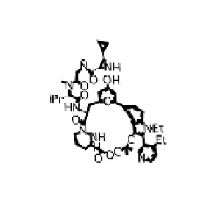 CCc1ccncc1-c1c2c3cc(ccc3n1CC)-c1cc(O)cc(c1)C[C@H](NC(=O)[C@H](C(C)C)N(C)C(=O)CN(C)C(=O)[C@H]1N[C@@H]1C1CC1)C(=O)N1CCC[C@H](N1)C(=O)OCC(C)(C)C2